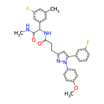 CNC(=O)C(NC(=O)CCc1cc(-c2cccc(F)c2)n(-c2ccc(OC)cc2)n1)c1cc(C)cc(F)c1